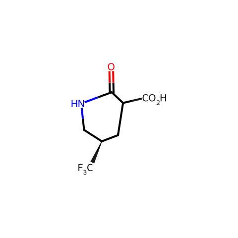 O=C(O)C1C[C@@H](C(F)(F)F)CNC1=O